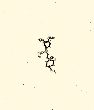 CNc1ccc(N(C)CC[N+]2(C)CCN(C)CC2)cc1N.[Cl-]